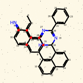 C/C=C(\C=N)c1ccc(-c2cccc3cccc(C4N=C(c5ccccc5)N=C(c5ccccc5)N4)c23)cc1